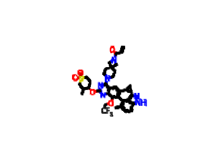 C=CC(=O)N1CC2(CCN(c3nc(OC4CCS(=O)(=O)CC4C)nc4c(OCC(F)(F)F)c(-c5c(C)ccc6[nH]ncc56)c(C5CC5)cc34)CC2)C1